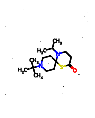 CC(C)N1CCC(=O)SC12CCN(C(C)(C)C)CC2